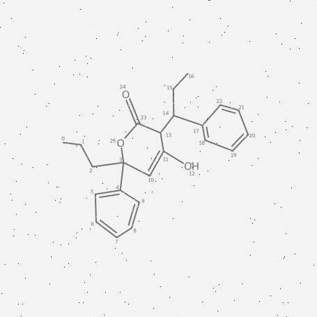 CCCC1(c2ccccc2)C=C(O)C(C(CC)c2ccccc2)C(=O)O1